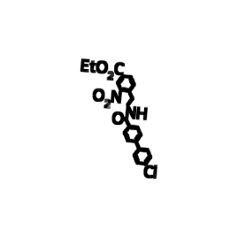 CCOC(=O)c1ccc(CCNC(=O)c2ccc(-c3ccc(Cl)cc3)cc2)c([N+](=O)[O-])c1